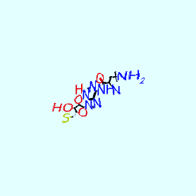 CSC[C@H]1O[C@@H](n2cnc3c(NC(=O)/C(C#N)=C/C(C)(C)N)ncnc32)[C@H](O)[C@@H]1O